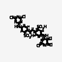 O=S(=O)(O)c1cc(Nc2nc(Cl)nc(Cl)n2)ccc1C=Cc1ccc(Nc2nc(Cl)nc(Cl)c2Cl)cc1S(=O)(=O)O